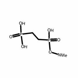 CNOP(=O)(O)CCP(=O)(O)O